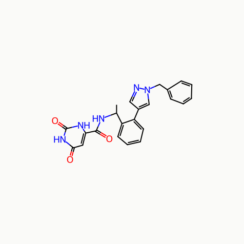 CC(NC(=O)c1cc(=O)[nH]c(=O)[nH]1)c1ccccc1-c1cnn(Cc2ccccc2)c1